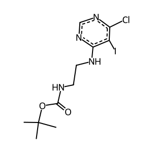 CC(C)(C)OC(=O)NCCNc1ncnc(Cl)c1I